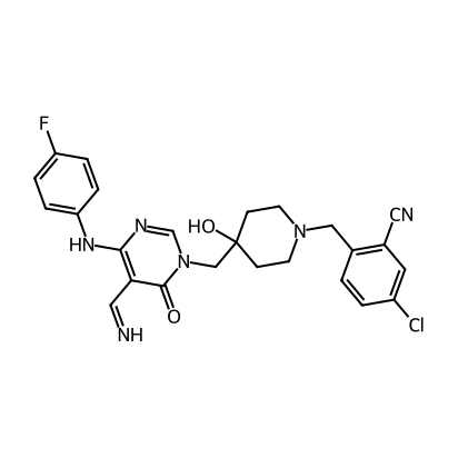 N#Cc1cc(Cl)ccc1CN1CCC(O)(Cn2cnc(Nc3ccc(F)cc3)c(C=N)c2=O)CC1